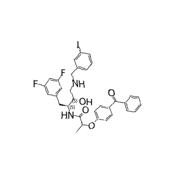 CC(Oc1ccc(C(=O)c2ccccc2)cc1)C(=O)N[C@@H](Cc1cc(F)cc(F)c1)[C@@H](O)CNCc1cccc(I)c1